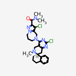 CN(C)C(=O)c1nn2c(c1Cl)CN(c1nc(Cl)nc3c1CN(C)[C@@]1(CCCc4ccccc41)C3)CCC2